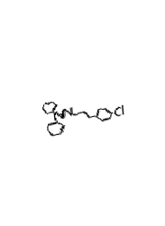 Clc1ccc(/C=C/C=N/N(c2ccccc2)c2ccccc2)cc1